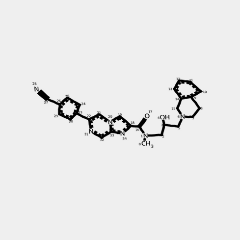 CN(CC(O)CN1CCc2ccccc2C1)C(=O)c1cn2cc(-c3ccc(C#N)cc3)ncc2n1